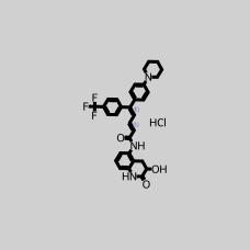 Cl.O=C(/C=C/C=C(/c1ccc(N2CCCCC2)cc1)c1ccc(C(F)(F)F)cc1)Nc1cccc2c1CC(O)C(=O)N2